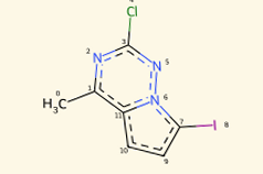 Cc1nc(Cl)nn2c(I)ccc12